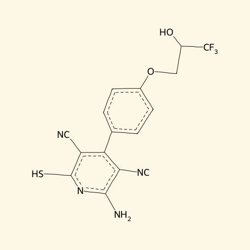 [C-]#[N+]c1c(N)nc(S)c(C#N)c1-c1ccc(OCC(O)C(F)(F)F)cc1